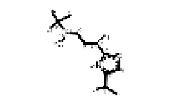 CC(C)c1csc([C@H](C)CC[S+]([O-])C(C)(C)C)n1